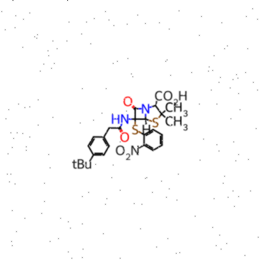 CC(C)(C)c1ccc(CC(=O)NC2(Sc3ccccc3[N+](=O)[O-])C(=O)N3[C@@H](C(=O)O)C(C)(C)S[C@@H]32)cc1